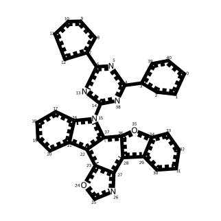 c1ccc(-c2nc(-c3ccccc3)nc(-n3c4ccccc4c4c5ocnc5c5c6ccccc6oc5c43)n2)cc1